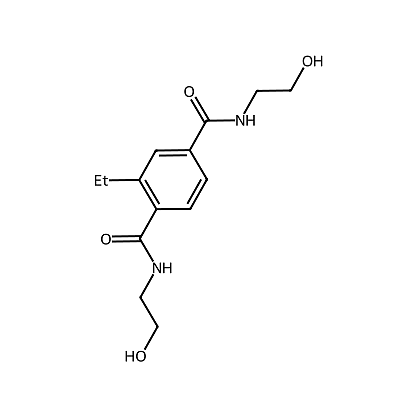 CCc1cc(C(=O)NCCO)ccc1C(=O)NCCO